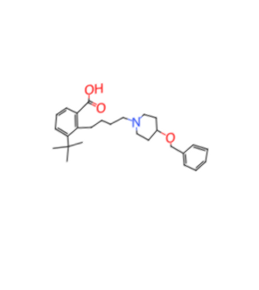 CC(C)(C)c1cccc(C(=O)O)c1CCCCN1CCC(OCc2ccccc2)CC1